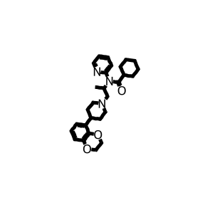 CC(CN1CCC(c2cccc3c2OCCO3)CC1)N(C(=O)C1CCCCC1)c1ccccn1